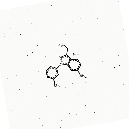 CCc1nn(-c2cccc(C)c2)c2cc(N)ccc12.Cl